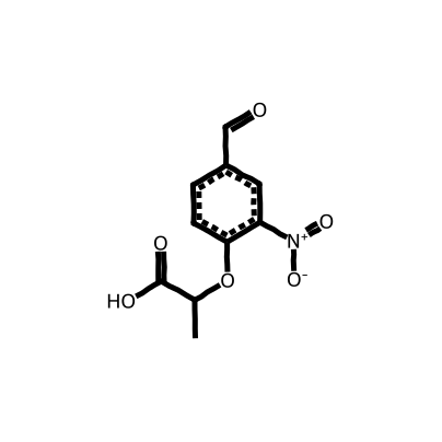 CC(Oc1ccc(C=O)cc1[N+](=O)[O-])C(=O)O